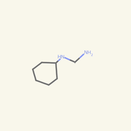 N[CH]NC1CCCCC1